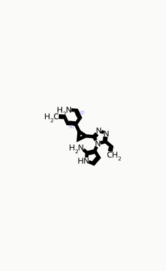 C=C/C=C(\C=C/N)C1CC1c1nnc(C=C)n1-c1cc[nH]c1N